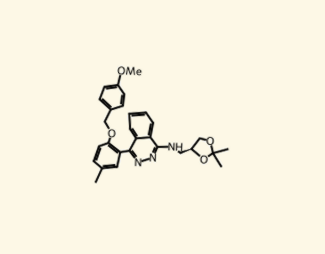 COc1ccc(COc2ccc(C)cc2-c2nnc(NC[C@H]3COC(C)(C)O3)c3ccccc23)cc1